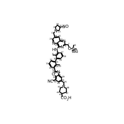 Cc1c(Nc2nc(CO[Si](C)(C)C(C)(C)C)nc3cc(CN4CC[C@@H](N=O)C4)cnc23)cccc1-c1cccc(-c2nc3cc(CN4CCC(C(=O)O)CC4)cc(C#N)c3o2)c1C